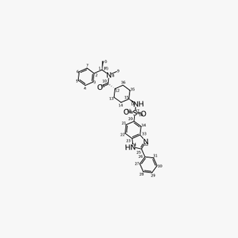 C[C@H](c1ccccc1)N(C)C(=O)[C@H]1CC[C@H](NS(=O)(=O)c2ccc3[nH]c(-c4ccccc4)nc3c2)CC1